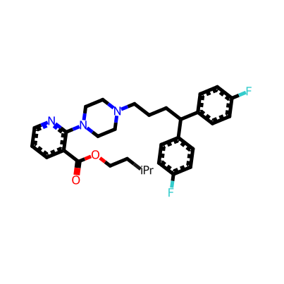 CC(C)CCOC(=O)c1cccnc1N1CCN(CCCC(c2ccc(F)cc2)c2ccc(F)cc2)CC1